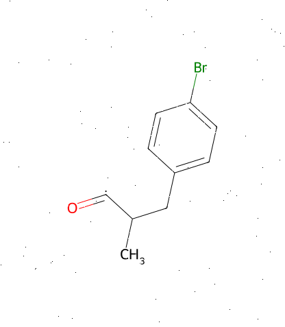 CC([C]=O)Cc1ccc(Br)cc1